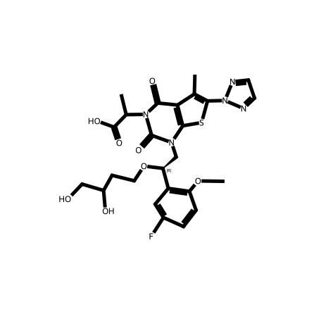 COc1ccc(F)cc1[C@H](Cn1c(=O)n(C(C)C(=O)O)c(=O)c2c(C)c(-n3nccn3)sc21)OCCC(O)CO